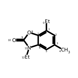 CCc1cc(C)cc2c1oc(=O)n2CC